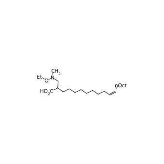 CCCCCCCC/C=C\CCCCCCCCC(CN(C)OCC)C(=O)O